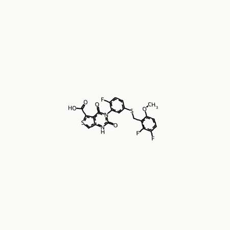 COc1ccc(F)c(F)c1CSc1ccc(F)c(-n2c(=O)[nH]c3csc(C(=O)O)c3c2=O)c1